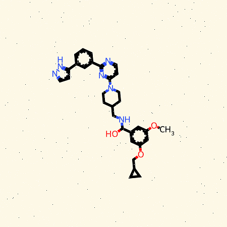 COc1cc(OCC2CC2)cc(C(O)NCC2CCN(c3ccnc(-c4cccc(-c5ccn[nH]5)c4)n3)CC2)c1